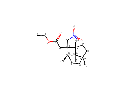 CCOC(=O)C[C@@]1(C[N+](=O)[O-])[C@@H]2CC[C@@H]3CC[C@H]1[C@@H]32